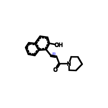 O=C(/C=C/c1c(O)ccc2ccccc12)N1CCCCC1